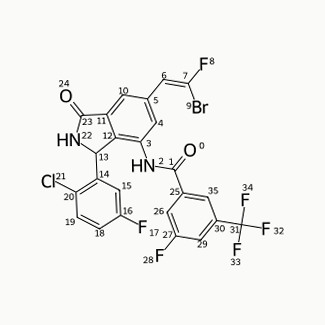 O=C(Nc1cc(C=C(F)Br)cc2c1C(c1cc(F)ccc1Cl)NC2=O)c1cc(F)cc(C(F)(F)F)c1